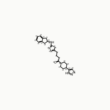 O=C(CCCc1nnc(NC2Cc3ccccc3C2)s1)N1CCC(c2cnn[nH]2)CC1